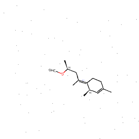 CC1=C[C@@H](C)/C(=C(\C)C[C@H](C)OC=O)CC1